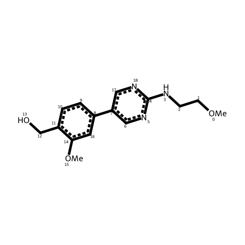 COCCNc1ncc(-c2ccc(CO)c(OC)c2)cn1